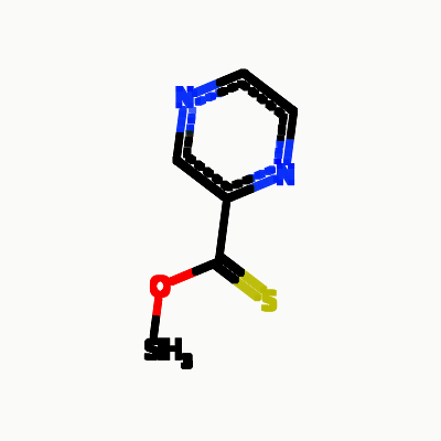 [SiH3]OC(=S)c1cnccn1